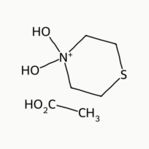 CC(=O)O.O[N+]1(O)CCSCC1